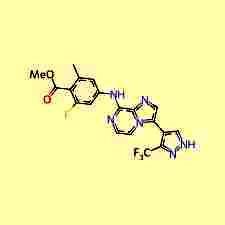 COC(=O)c1c(C)cc(Nc2nccn3c(-c4c[nH]nc4C(F)(F)F)cnc23)cc1F